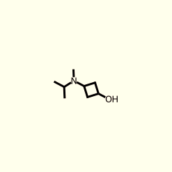 CC(C)N(C)C1CC(O)C1